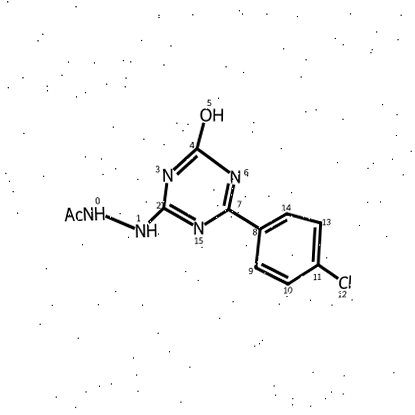 CC(=O)NNc1nc(O)nc(-c2ccc(Cl)cc2)n1